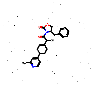 Cc1cc(C2CCC(C(C)C(=O)N3C(=O)OCC3Cc3ccccc3)CC2)ccn1